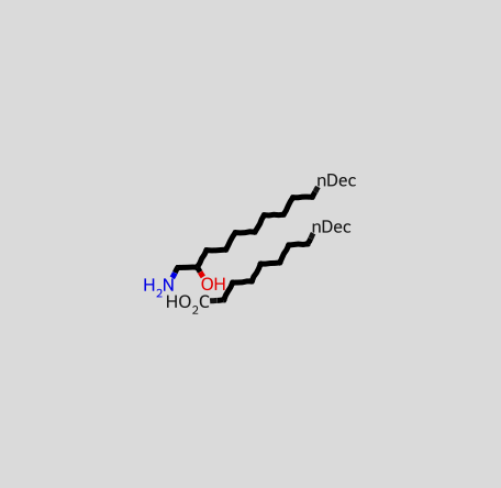 CCCCCCCCCCCCCCCCCC(=O)O.CCCCCCCCCCCCCCCCCCC(O)CN